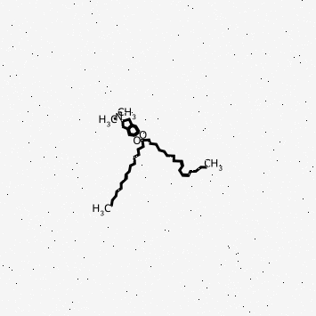 CCCCC/C=C\C/C=C\CCCCCCCCC1(CCCCCCC/C=C/CCCCCCC)Oc2cc3c(cc2O1)CC(N(C)C)C3